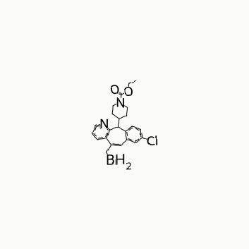 BCC1=Cc2cc(Cl)ccc2C(C2CCN(C(=O)OCC)CC2)c2ncccc21